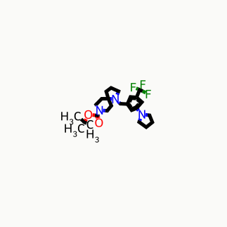 CC(C)(C)OC(=O)N1CCC2(CCCN2Cc2cc(N3CCCC3)cc(C(F)(F)F)c2)CC1